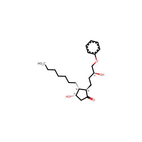 O=C(O)CCCCCC[C@H]1[C@@H](O)CC(=O)[C@@H]1CC[C@H](O)COc1ccccc1